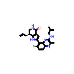 C=CC[C@H]1CNC(=O)c2cc(-c3c(F)ccc4nc(C)c(NCC(=C)C)nc34)[nH]c21